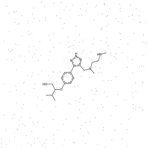 CNCCN(C)Cc1c[nH]nc1-c1ccc(OC(CO)C(C)C)cc1